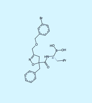 CC(C)C[C@H](NC(=O)C1(Cc2ccccc2)CC(COCc2cccc(Br)c2)=NO1)B(O)O